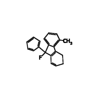 Cc1cccc2c1C1=C(C=CCC1)C2(F)c1ccccc1